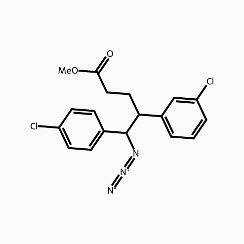 COC(=O)CCC(c1cccc(Cl)c1)C(N=[N+]=[N-])c1ccc(Cl)cc1